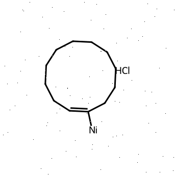 Cl.[Ni][C]1=CCCCCCCCCCC1